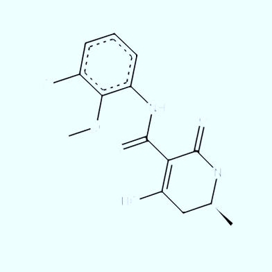 COc1c(Cl)cccc1NC(=S)C1=C(O)C[C@H](C)NC1=O